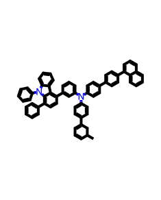 CC1C=CC=C(c2ccc(N(c3ccc(-c4ccc(-c5cccc6ccccc56)cc4)cc3)c3cccc(-c4ccc(-c5ccccc5)c5c4c4ccccc4n5-c4ccccc4)c3)cc2)C1